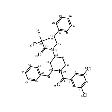 O=C(c1cc(Cl)cc(Cl)c1)N1CCC(N(CCc2ccccc2)C(=O)C(F)(F)F)CC1Cc1ccccc1